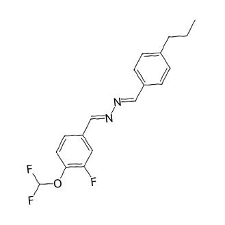 CCCc1ccc(C=NN=Cc2ccc(OC(F)F)c(F)c2)cc1